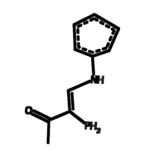 CC(=O)/C(P)=C/Nc1ccccc1